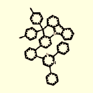 Cc1ccc(C2(c3ccc(C)cc3)c3cc(-c4ccccc4-c4cc(-c5ccccc5)nc(-c5ccccc5)n4)ccc3-n3c4ccccc4c4cccc2c43)cc1